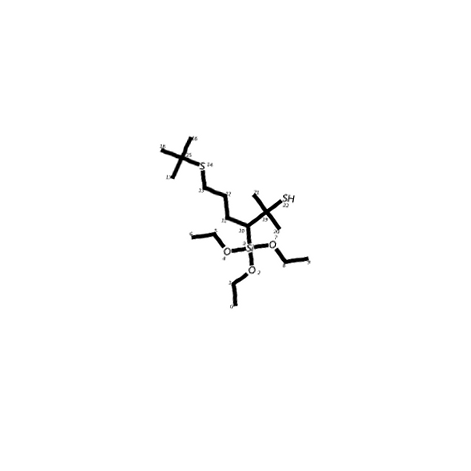 CCO[Si](OCC)(OCC)C(CCCSC(C)(C)C)C(C)(C)S